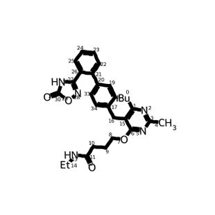 CCCCc1nc(C)nc(OCCCC(=O)NCC)c1Cc1ccc(-c2ccccc2-c2noc(=O)[nH]2)cc1